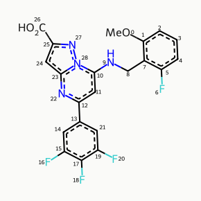 COc1cccc(F)c1CNc1cc(-c2cc(F)c(F)c(F)c2)nc2cc(C(=O)O)nn12